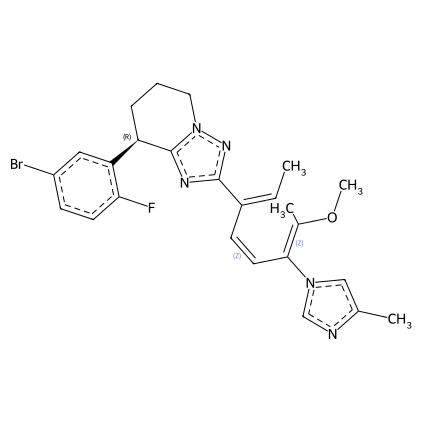 CC=C(/C=C\C(=C(/C)OC)n1cnc(C)c1)c1nc2n(n1)CCC[C@@H]2c1cc(Br)ccc1F